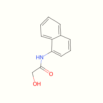 O=C(CO)Nc1cccc2ccccc12